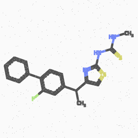 CNC(=S)Nc1nc(C(C)c2ccc(-c3ccccc3)c(F)c2)cs1